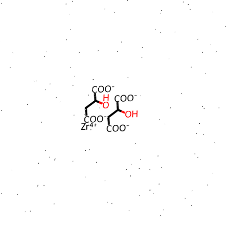 O=C([O-])CC(O)C(=O)[O-].O=C([O-])CC(O)C(=O)[O-].[Zr+4]